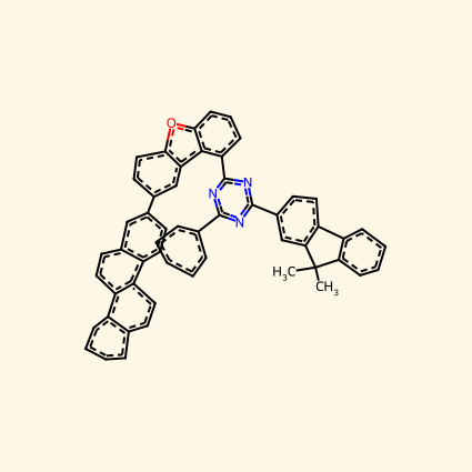 CC1(C)c2ccccc2-c2ccc(-c3nc(-c4ccccc4)nc(-c4cccc5oc6ccc(-c7ccc8c(ccc9c%10ccccc%10ccc89)c7)cc6c45)n3)cc21